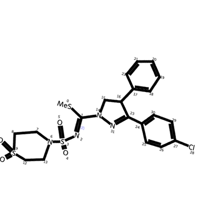 CS/C(=N\S(=O)(=O)N1CCS(=O)(=O)CC1)N1CC(c2ccccc2)C(c2ccc(Cl)cc2)=N1